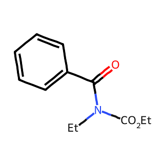 CCOC(=O)N(CC)C(=O)c1ccccc1